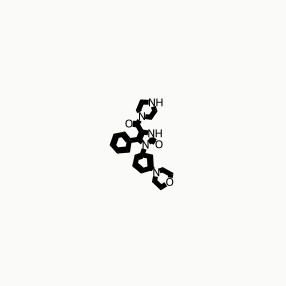 O=C(c1[nH]c(=O)n(-c2cccc(N3CCOCC3)c2)c1-c1ccccc1)N1CCNCC1